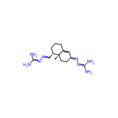 C[C@]12CC/C(=N\N=C(N)N)C=C1CCC[C@@H]2/C=N/N=C(N)N